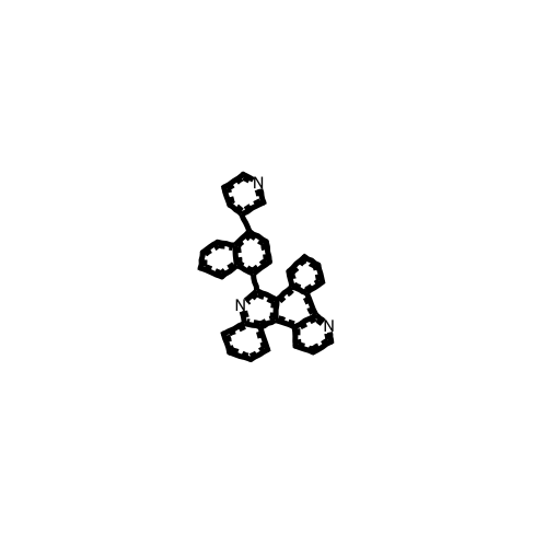 c1cncc(-c2ccc(-c3nc4ccccc4c4c5cccnc5c5ccccc5c34)c3ccccc23)c1